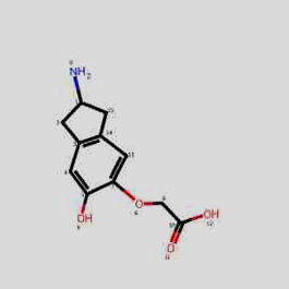 NC1Cc2cc(O)c(OCC(=O)O)cc2C1